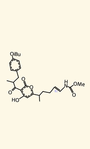 COC(=O)N/C=C/CCC(C)c1cc(O)c(C(=O)C(C)Cc2ccc(OCC(C)C)cc2)c(=O)o1